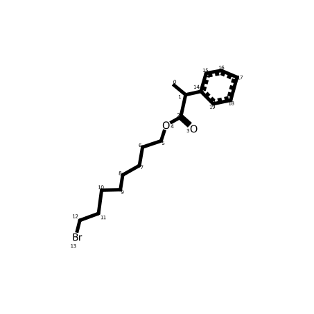 CC(C(=O)OCCCCCCCCBr)c1ccccc1